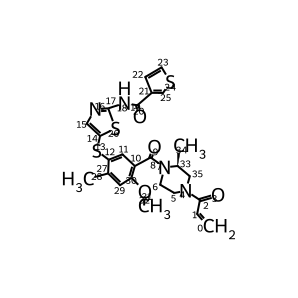 C=CC(=O)N1CCN(C(=O)c2cc(Sc3cnc(NC(=O)c4ccsc4)s3)c(C)cc2OC)[C@@H](C)C1